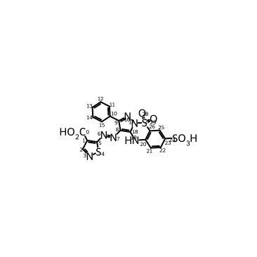 O=C(O)c1cnsc1/N=N/c1c(-c2ccccc2)nn2c1Nc1ccc(S(=O)(=O)O)cc1S2(=O)=O